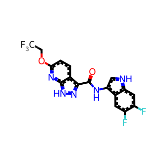 O=C(Nc1c[nH]c2cc(F)c(F)cc12)c1n[nH]c2nc(OCC(F)(F)F)ccc12